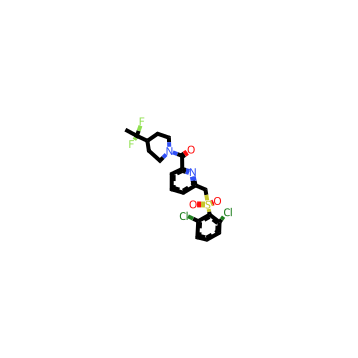 CC(F)(F)C1CCN(C(=O)c2cccc(CS(=O)(=O)c3c(Cl)cccc3Cl)n2)CC1